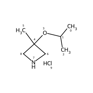 CC(C)OC1(C)CNC1.Cl